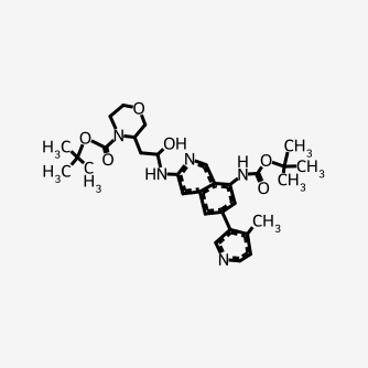 Cc1ccncc1-c1cc(NC(=O)OC(C)(C)C)c2cnc(NC(O)CC3COCCN3C(=O)OC(C)(C)C)cc2c1